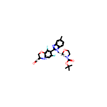 Cc1ccc2c(c1)nc(-c1c(F)cc3c(c1F)OCC(=C=O)N3)n2C[C@H]1CN(C(=O)OC(C)(C)C)CCO1